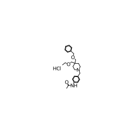 CCOCC1(COCc2ccccc2)CCN(Cc2ccc(NC(C)=O)cc2)CC1.Cl